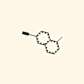 C#Cc1ccc2c([CH2])cccc2c1